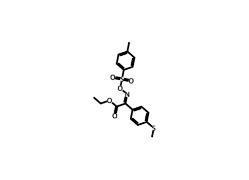 CCOC(=O)C(=NOS(=O)(=O)c1ccc(C)cc1)c1ccc(SC)cc1